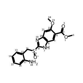 COC(=O)c1cc2[nH]c([S+]([O-])Cc3ccccc3N)nc2cc1OC